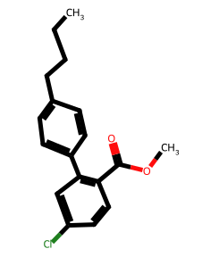 CCCCc1ccc(-c2cc(Cl)ccc2C(=O)OC)cc1